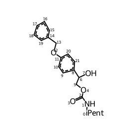 CCCC(C)NC(=O)OCC(O)c1ccc(OCc2ccccc2)cc1